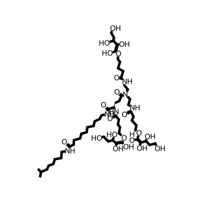 CC(C)CCCCCCNC(=O)CCCCCCCCCCNC(=O)[C@H](CCC(=O)N(CCNC(=O)CCCCO/C(O)=C(\O)C(O)CCO)CCNC(=O)CCCCO/C(O)=C(/O)C(O)CCO)NC(=O)CCCCO/C(O)=C(/O)C(O)CCO